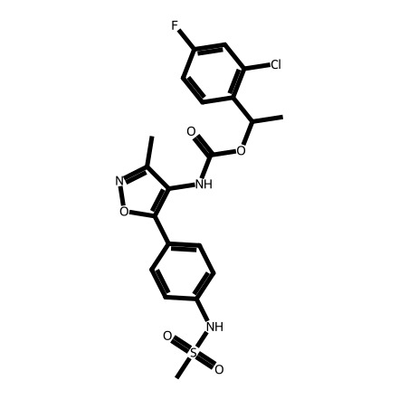 Cc1noc(-c2ccc(NS(C)(=O)=O)cc2)c1NC(=O)OC(C)c1ccc(F)cc1Cl